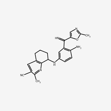 Cc1ncc(C(=N)c2cc(NC3CCCc4cc(C#N)c(C)nc43)ccc2N)o1